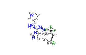 CN1CCCC(Nc2nnc(-c3ccc(Br)cc3C(F)(F)F)c3cncn23)C1